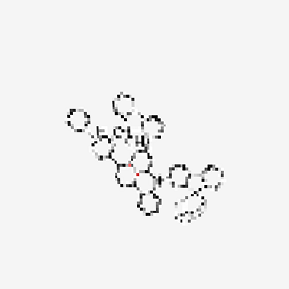 CC1(C)c2ccccc2-c2cccc(-c3cccc(N(c4ccc5c(c4)C4(c6ccccc6-5)C5CC6CC(C5)CC4C6)c4ccccc4-c4ccc(-c5ccc(-c6ccccc6)cc5)cc4)c3)c21